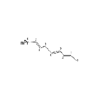 CC=CC=CCC=CCCC